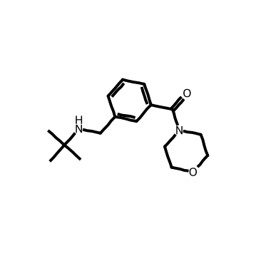 CC(C)(C)NCc1cccc(C(=O)N2CCOCC2)c1